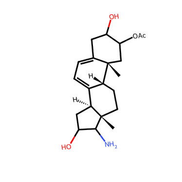 CC(=O)OC1C[C@@]2(C)C(=CC=C3[C@H]2CC[C@]2(C)C(N)C(O)C[C@@H]32)CC1O